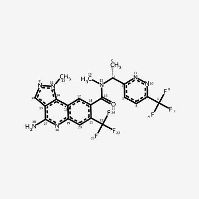 C[C@H](c1ccc(C(F)(F)F)nn1)N(C)C(=O)c1cc2c(cc1C(F)(F)F)nc(N)c1cnn(C)c12